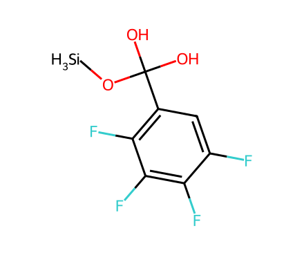 OC(O)(O[SiH3])c1cc(F)c(F)c(F)c1F